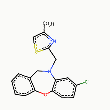 O=C(O)c1csc(CN2Cc3ccccc3Oc3ccc(Cl)cc32)n1